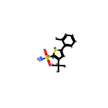 Cc1ccccc1-c1cc(C(C)(C)C)c(S(N)(=O)=O)s1